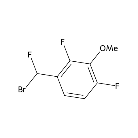 COc1c(F)ccc(C(F)Br)c1F